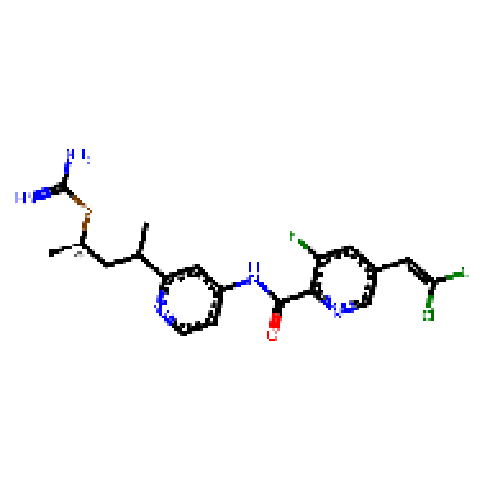 CC(C[C@@H](C)SC(=N)N)c1cc(NC(=O)c2ncc(C=C(Cl)Cl)cc2F)ccn1